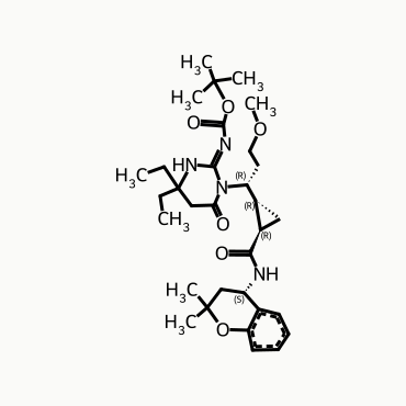 CCC1(CC)CC(=O)N([C@H](CCOC)[C@@H]2C[C@H]2C(=O)N[C@H]2CC(C)(C)Oc3ccccc32)C(=NC(=O)OC(C)(C)C)N1